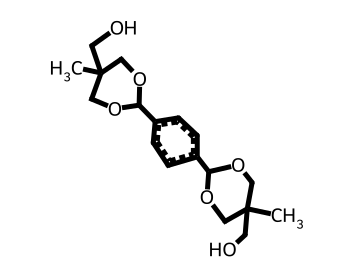 CC1(CO)COC(c2ccc(C3OCC(C)(CO)CO3)cc2)OC1